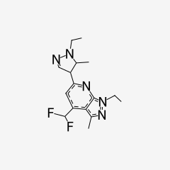 CCN1N=CC(c2cc(C(F)F)c3c(C)nn(CC)c3n2)C1C